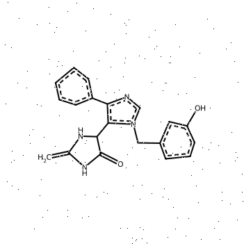 C=C1NC(=O)C(c2c(-c3ccccc3)ncn2Cc2cccc(O)c2)N1